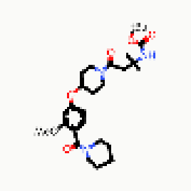 COc1cc(OC2CCN(C(=O)CC(C)(C)NC(=O)OC(C)(C)C)CC2)ccc1C(=O)N1CC[CH]CC1